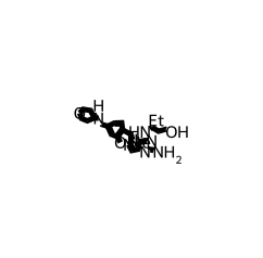 CCC(CCO)Nc1nc(N)nc2cnn(Cc3ccc(CNC4CCOCC4)cc3OC)c12